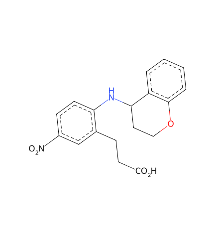 O=C(O)CCc1cc([N+](=O)[O-])ccc1NC1CCOc2ccccc21